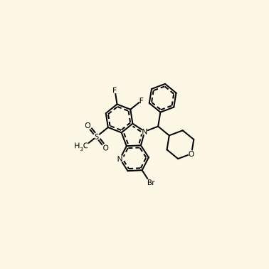 CS(=O)(=O)c1cc(F)c(F)c2c1c1ncc(Br)cc1n2C(c1ccccc1)C1CCOCC1